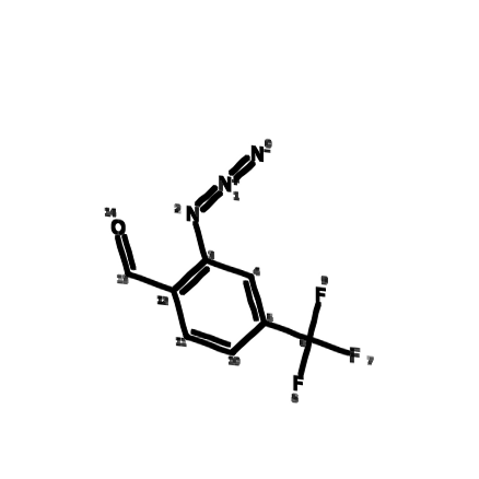 [N-]=[N+]=Nc1cc(C(F)(F)F)ccc1C=O